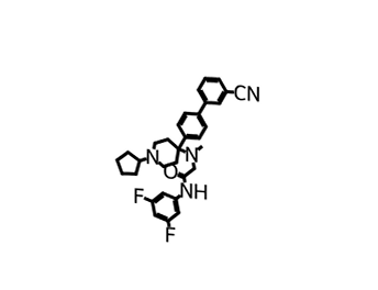 CN(CC(=O)Nc1cc(F)cc(F)c1)C1(c2ccc(-c3cccc(C#N)c3)cc2)CCN(C2CCCC2)CC1